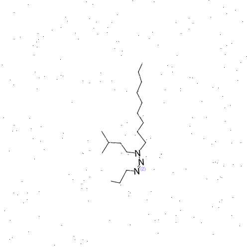 CCCCCCCCCN(CCC(C)C)/N=N\CCC